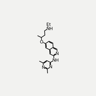 CCNCCC(C)Oc1ccc2cnc(Nc3cc(C)nc(C)n3)cc2c1